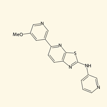 COc1cncc(-c2ccc3nc(Nc4cccnc4)sc3n2)c1